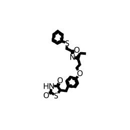 Cc1oc(CSc2ccccc2)nc1CCOc1ccc(CC2SC(=O)NC2=O)cc1